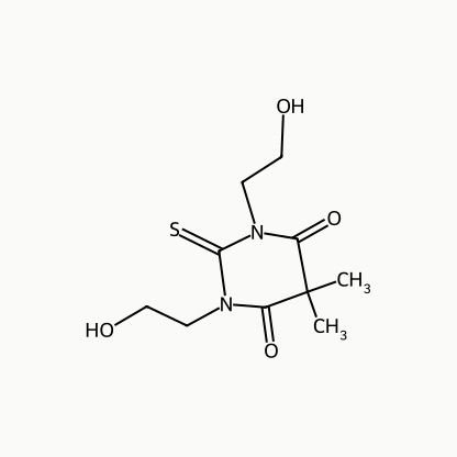 CC1(C)C(=O)N(CCO)C(=S)N(CCO)C1=O